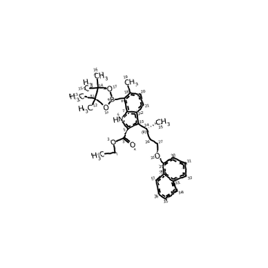 CCOC(=O)c1[nH]c2c(B3OC(C)(C)C(C)(C)O3)c(C)ccc2c1[C@H](C)CCOc1cccc2ccccc12